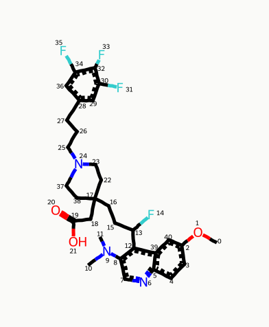 COc1ccc2ncc(N(C)C)c(C(F)CCC3(CC(=O)O)CCN(CCCc4cc(F)c(F)c(F)c4)CC3)c2c1